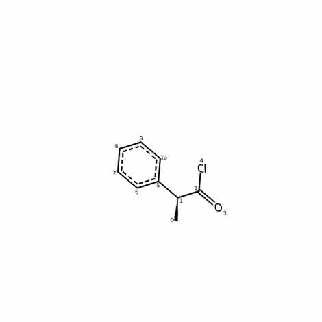 C[C@H](C(=O)Cl)c1ccccc1